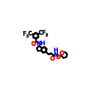 O=C(/C=C/c1ccc2c(c1)CCC2NC(=O)c1cc(C(F)(F)F)cc(C(F)(F)F)c1)NOC1CCCCO1